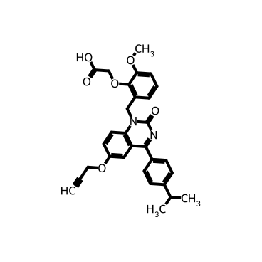 C#CCOc1ccc2c(c1)c(-c1ccc(C(C)C)cc1)nc(=O)n2Cc1cccc(OC)c1OCC(=O)O